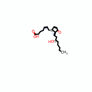 CCCCC[C@H](O)C/C=C1\C(=O)C=C[C@@H]1C/C=C\CCCC(=O)O